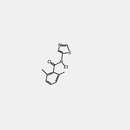 CCN(C(=O)c1c(C)cccc1C)c1cncs1